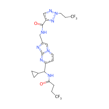 O=C(CCC(F)(F)F)NC(c1ccn2cc(CNC(=O)c3cnn(CCC(F)(F)F)n3)nc2n1)C1CC1